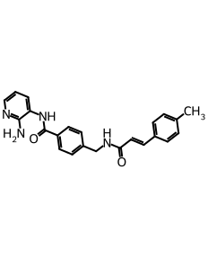 Cc1ccc(/C=C/C(=O)NCc2ccc(C(=O)Nc3cccnc3N)cc2)cc1